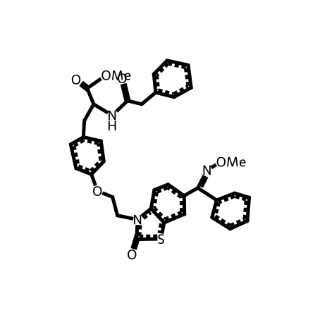 CO/N=C(\c1ccccc1)c1ccc2c(c1)sc(=O)n2CCOc1ccc(CC(NC(=O)Cc2ccccc2)C(=O)OC)cc1